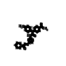 CC(=O)N1CCC(N(C(=O)Nc2ncc(SCC(=O)N3CCCCC3)s2)C2CCC(C)CC2)CC1